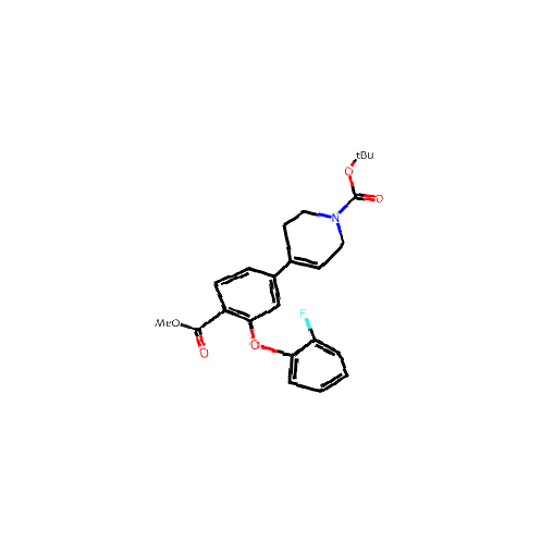 COC(=O)c1ccc(C2=CCN(C(=O)OC(C)(C)C)CC2)cc1Oc1ccccc1F